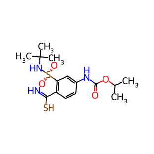 CC(C)OC(=O)Nc1ccc(C(=N)S)c(S(=O)(=O)NC(C)(C)C)c1